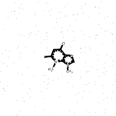 Cn1cnc2c(Cl)cc(I)[n+](C)c21